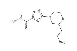 COCCC1CN(c2nc(C(=O)NN)cs2)CCO1